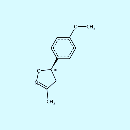 COc1ccc([C@H]2CC(C)=NO2)cc1